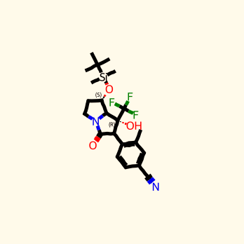 Cc1cc(C#N)ccc1C1C(=O)N2CC[C@H](O[Si](C)(C)C(C)(C)C)C2[C@@]1(O)C(F)(F)F